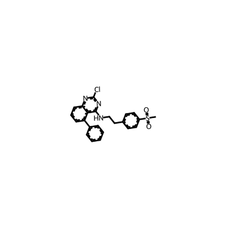 CS(=O)(=O)c1ccc(CCNc2nc(Cl)nc3cccc(-c4ccccc4)c23)cc1